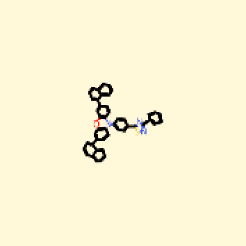 c1ccc(-c2nsc(-c3ccc(N4c5ccc(-c6cccc7ccccc67)cc5Oc5cc(-c6cccc7ccccc67)ccc54)cc3)n2)cc1